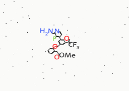 COC(=O)Cc1ccccc1OCc1cc(-c2ccnc(CN)c2F)c2occ(C(F)(F)F)c2c1